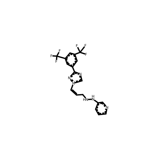 FC(F)(F)c1cc(-c2ncn(/C=C\CNNc3cccnc3)n2)cc(C(F)(F)F)c1